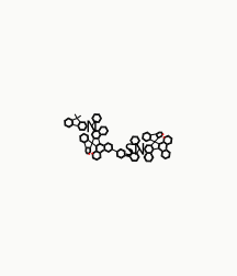 CC1(C)c2ccccc2-c2ccc(N(c3ccccc3)c3cc4c(c5ccccc35)-c3c(c5ccccc5c5cc(-c6ccc7c(c6)sc6c(N(c8ccccc8)c8cc9c(c%10ccccc8%10)-c8c(c%10ccccc%10c%10ccccc8%10)C98c9ccccc9-c9ccccc98)cccc67)ccc35)C43c4ccccc4-c4ccccc43)cc21